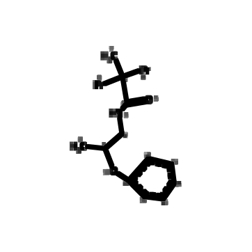 CC(CNC(=O)C(C)(C(C)C)C(C)C)Oc1ccccc1